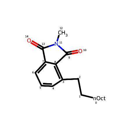 CCCCCCCCCCc1cccc2c1C(=O)N(C)C2=O